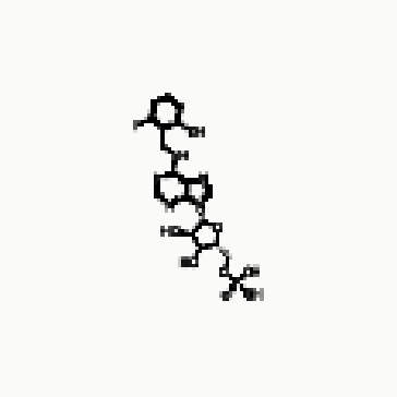 O=P(O)(O)OC[C@H]1O[C@@H](n2cnc3c(NCc4c(O)cccc4I)ncnc32)[C@H](O)[C@@H]1O